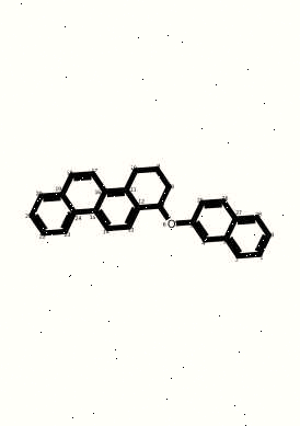 c1ccc2cc(OC3CCCc4c3ccc3c4ccc4ccccc43)ccc2c1